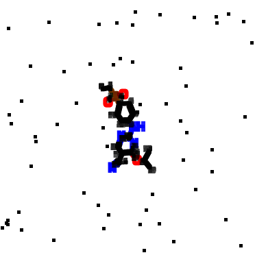 CCS(=O)(=O)c1ccc(Nc2ncc(C#N)c(OC(C)C)n2)cc1